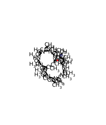 C/C=C/C[C@@H](C)[C@@H](O)[C@H]1C(=O)N[C@@H](CC)C(=O)N(C)CC(=O)N(C)[C@@H](CC(C)C)C(=O)N[C@@H](C(C)C)C(=O)N(C)[C@H]2CC(C)CC(C)[C@@H](C(=O)N1C)N(C)C(=O)[C@H](CC(C)C)N(C)C(=O)[C@H](CC(C)C)N(C)C(=O)[C@@H](C)NC(=O)[C@H](C)NC2=O